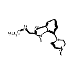 CN1CCN(c2cccc3nc(CNC(=O)O)n(C)c23)CC1